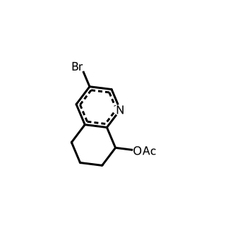 CC(=O)OC1CCCc2cc(Br)cnc21